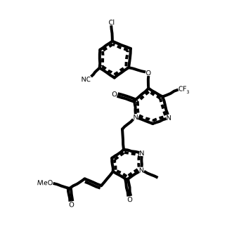 COC(=O)/C=C/c1cc(Cn2cnc(C(F)(F)F)c(Oc3cc(Cl)cc(C#N)c3)c2=O)nn(C)c1=O